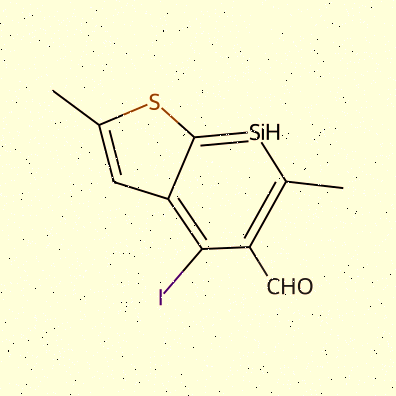 Cc1cc2c(I)c(C=O)c(C)[siH]c2s1